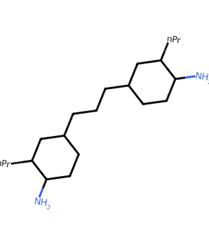 CCCC1CC(CCCC2CCC(N)C(CCC)C2)CCC1N